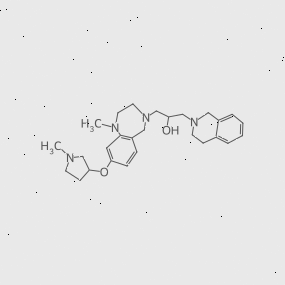 CN1CCC(Oc2ccc3c(c2)N(C)CCN(CC(O)CN2CCc4ccccc4C2)C3)C1